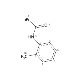 CCCC(=O)Nc1ccccc1C(F)(F)F